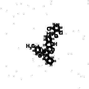 Cc1ccc(S(=O)(=O)N2Cc3ccccc3C2C(=O)N[C@@H](Cc2ccc(NC(=O)c3c(Cl)cncc3Cl)cc2)C(=O)O)cc1